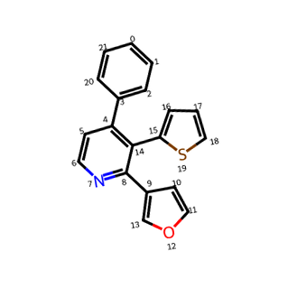 c1ccc(-c2ccnc(-c3ccoc3)c2-c2cccs2)cc1